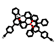 N#Cc1ccc(-c2ccc3c(c2)c2ccccc2n3-c2cccc(C#N)c2-c2c(-c3nc(-c4ccccc4)nc(-c4ccccc4)n3)cccc2-n2c3ccccc3c3cc(-c4ccc(C#N)cc4)ccc32)cc1